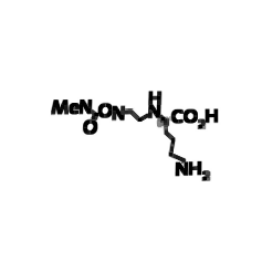 CNC(=O)ON=CCN[C@@H](CCCCN)C(=O)O